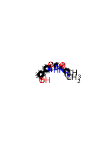 C=N/C=C(\C=C/C)NC(=O)N1CC(Oc2ccc(-c3cccc(O)c3)cn2)C1